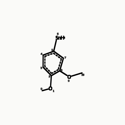 COc1cc[c]([SnH])cc1OC